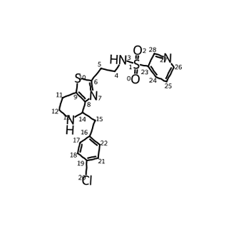 O=S(=O)(NCCc1nc2c(s1)CCNC2Cc1ccc(Cl)cc1)c1cccnc1